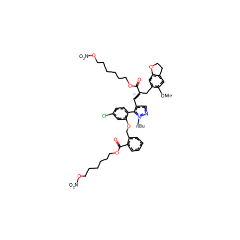 CCCCn1ncc(/C=C(\Cc2cc3c(cc2OC)CCO3)C(=O)OCCCCCCO[N+](=O)[O-])c1-c1ccc(Cl)cc1OCc1ccccc1C(=O)OCCCCCCO[N+](=O)[O-]